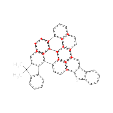 CC1(C)c2ccccc2-c2c(-c3ccccc3N(c3ccccc3-c3ccc4sc5ccccc5c4c3)c3ccccc3-c3ccccc3-c3ccccc3-c3ccccc3)cccc21